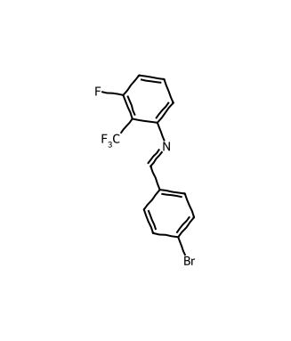 Fc1cccc(N=Cc2ccc(Br)cc2)c1C(F)(F)F